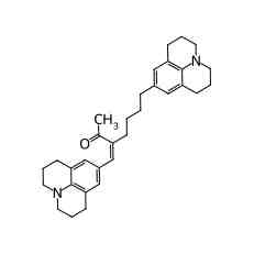 CC(=O)/C(=C\c1cc2c3c(c1)CCCN3CCC2)CCCCc1cc2c3c(c1)CCCN3CCC2